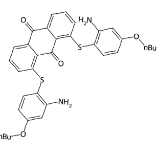 CCCCOc1ccc(Sc2cccc3c2C(=O)c2c(Sc4ccc(OCCCC)cc4N)cccc2C3=O)c(N)c1